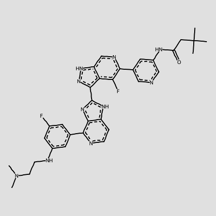 CN(C)CCNc1cc(F)cc(-c2nccc3[nH]c(-c4n[nH]c5cnc(-c6cncc(NC(=O)CC(C)(C)C)c6)c(F)c45)nc23)c1